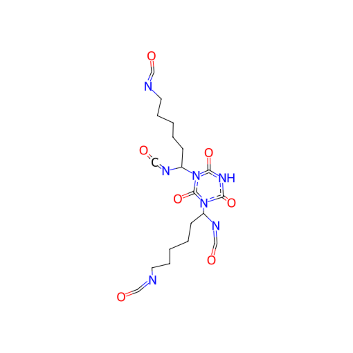 O=C=NCCCCCC(N=C=O)n1c(=O)[nH]c(=O)n(C(CCCCCN=C=O)N=C=O)c1=O